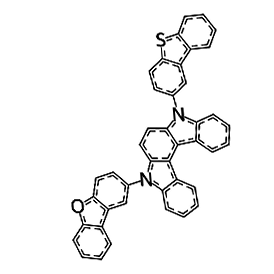 c1ccc2c(c1)oc1ccc(-n3c4ccccc4c4c5c6ccccc6n(-c6ccc7sc8ccccc8c7c6)c5ccc43)cc12